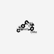 COCc1cc(C2(C(=O)Nc3cccc(-c4ccc(S(=O)(=O)N5CCC[C@@H]5C)cc4)n3)CC2)ccc1OC